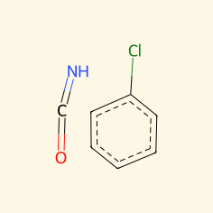 Clc1ccccc1.N=C=O